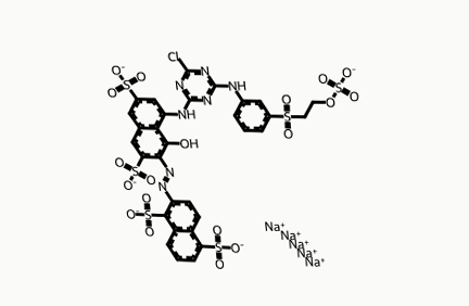 O=S(=O)([O-])OCCS(=O)(=O)c1cccc(Nc2nc(Cl)nc(Nc3cc(S(=O)(=O)[O-])cc4cc(S(=O)(=O)[O-])c(N=Nc5ccc6c(S(=O)(=O)[O-])cccc6c5S(=O)(=O)[O-])c(O)c34)n2)c1.[Na+].[Na+].[Na+].[Na+].[Na+]